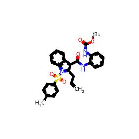 C=CCc1c(C(=O)Nc2ccccc2NC(=O)OC(C)(C)C)c2ccccc2n1S(=O)(=O)c1ccc(C)cc1